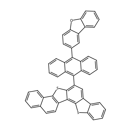 c1ccc2c(c1)ccc1c2sc2c(-c3c4ccccc4c(-c4ccc5oc6ccccc6c5c4)c4ccccc34)cc3c4ccccc4sc3c21